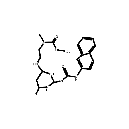 CC1CC(NCCN(C)C(=O)OC(C)(C)C)NC(NC(=O)Nc2ccc3ccccc3c2)N1